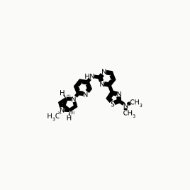 CN(C)c1nc(-c2ccnc(Nc3ccc(N4C[C@@H]5C[C@H]4CN5C)nc3)n2)cs1